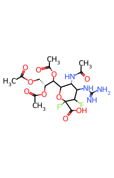 CC(=O)N[C@@H]1C(NC(=N)N)C(F)[C@](F)(C(=O)O)OC1[C@H](OC(C)=O)[C@@H](COC(C)=O)OC(C)=O